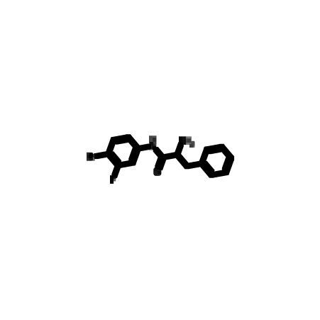 NC(Cc1ccccc1)C(=O)Nc1ccc(Br)c(F)c1